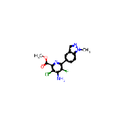 COC(=O)c1nc(-c2ccc3c(cnn3C)c2)c(F)c(N)c1Cl